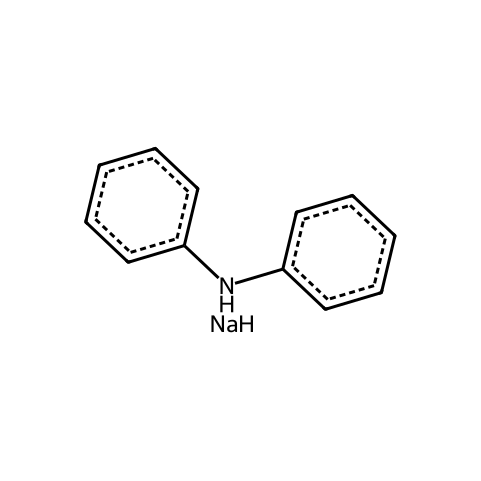 [NaH].c1ccc(Nc2ccccc2)cc1